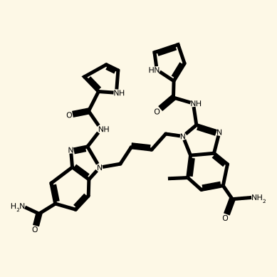 Cc1cc(C(N)=O)cc2nc(NC(=O)c3ccc[nH]3)n(CC=CCn3c(NC(=O)c4ccc[nH]4)nc4cc(C(N)=O)ccc43)c12